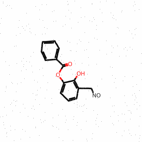 O=NCc1cccc(OC(=O)c2ccccc2)c1O